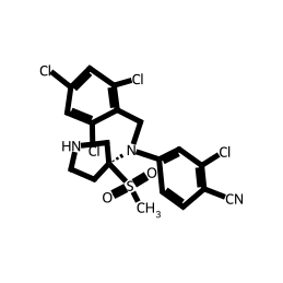 CS(=O)(=O)[C@@]1(N(Cc2c(Cl)cc(Cl)cc2Cl)c2ccc(C#N)c(Cl)c2)CCNC1